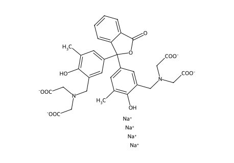 Cc1cc(C2(c3cc(C)c(O)c(CN(CC(=O)[O-])CC(=O)[O-])c3)OC(=O)c3ccccc32)cc(CN(CC(=O)[O-])CC(=O)[O-])c1O.[Na+].[Na+].[Na+].[Na+]